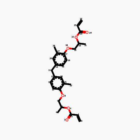 C=CC(=O)OC(C)COc1ccc(Cc2ccc(OCC(C)OC(=O)C=C)c(C)c2)cc1C